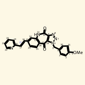 COc1ccc(Cn2nnc3c(=O)[nH]c4cc(/C=C/c5ccccn5)ccc4c(=O)c32)cc1